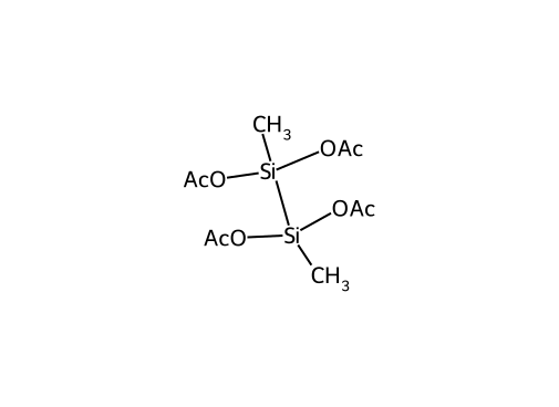 CC(=O)O[Si](C)(OC(C)=O)[Si](C)(OC(C)=O)OC(C)=O